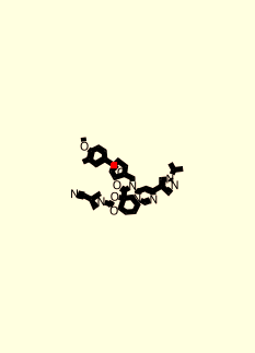 COc1ccc(C23CCC(CN(C(=O)C4(OC(=O)N5CC(C#N)C5)CCCCC4)c4cc(-c5cnn(C(C)C)c5)ncn4)(CC2)CC3)cc1C